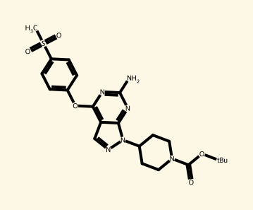 CC(C)(C)OC(=O)N1CCC(n2ncc3c(Oc4ccc(S(C)(=O)=O)cc4)nc(N)nc32)CC1